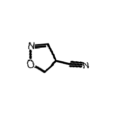 N#CC1C=NOC1